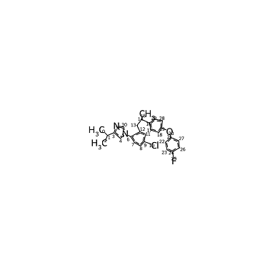 CC(C)c1cn(-c2ccc(Cl)cc2CC(C)c2ccc(Oc3ccc(F)cc3)cc2)cn1